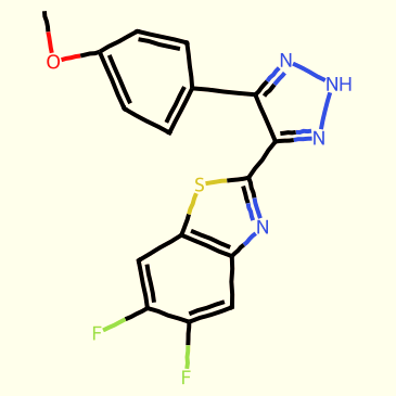 COc1ccc(-c2n[nH]nc2-c2nc3cc(F)c(F)cc3s2)cc1